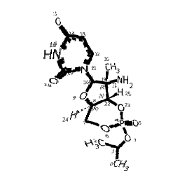 CC(C)OP1(=O)OC[C@H]2OC(n3ccc(=O)[nH]c3=O)[C@](C)(N)[C@@H]2O1